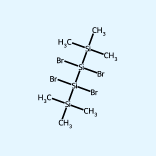 C[Si](C)(C)[Si](Br)(Br)[Si](Br)(Br)[Si](C)(C)C